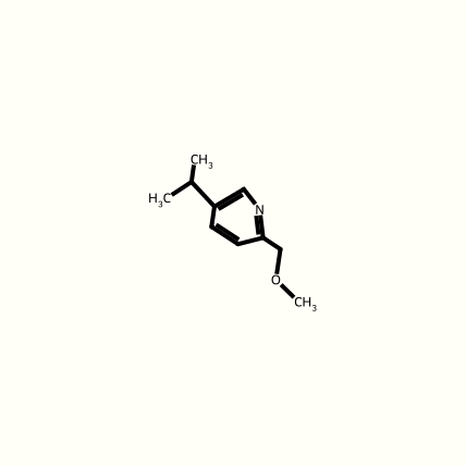 COCc1ccc(C(C)C)cn1